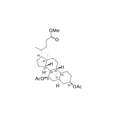 COC(=O)CCC(C)[C@H]1CC[C@H]2[C@@H]3[C@H](OC(C)=O)C[C@@H]4C[C@H](OC(C)=O)CC[C@]4(C)[C@H]3CC[C@]12C